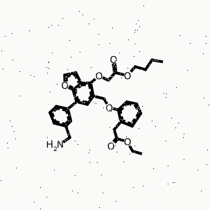 CCCCOC(=O)COc1c(COc2ccccc2CC(=O)OCC)cc(-c2cccc(CN)c2)c2occc12